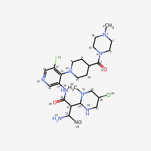 CN1CCN(C(=O)C2CCN(c3c(F)cncc3NC(=O)C(C(N)N=O)C3NCC(Cl)CN3C)CC2)CC1